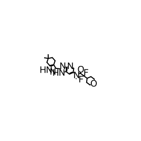 CN(C(=O)C(F)(F)C1CCOCC1)c1cnc2nc(-c3n[nH]c4c3CCC(C)(C)C4)[nH]c2c1